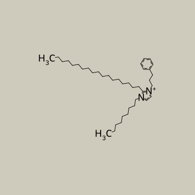 CCCCCCCCCCCCCCCCCCc1n(CCCCCCCCC)cc[n+]1CCCc1ccccc1